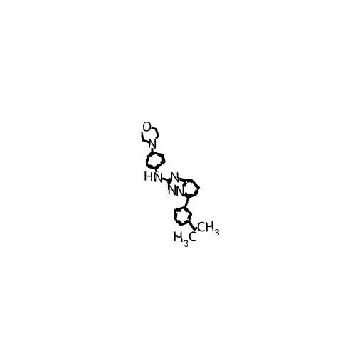 CC(C)c1cccc(-c2cccc3nc(Nc4ccc(N5CCOCC5)cc4)nn23)c1